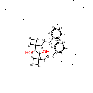 OC(C(O)C1(CCCc2ccccc2)CCC1)C1(CCCc2ccccc2)CCC1